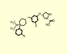 CN(C)[C@]1(c2cccc(F)c2)CC[C@@H](Cc2cc(F)cc(O[C@@H]3CN[C@H](C(=O)O)C3)c2)CC1